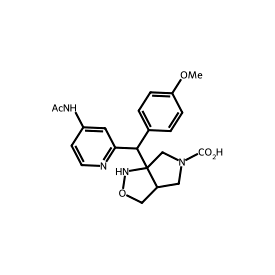 COc1ccc(C(c2cc(NC(C)=O)ccn2)C23CN(C(=O)O)CC2CON3)cc1